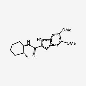 COc1cc2cc(C(=O)N[C@@H]3CCCC[C@@H]3C)[nH]c2cc1OC